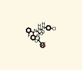 O=C(Nc1ccc(Cl)cc1)NC1N=C(c2ccccc2F)c2ccccc2N(CC(=O)N2CC3CCC(CC3)C2)C1=O